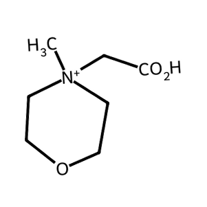 C[N+]1(CC(=O)O)CCOCC1